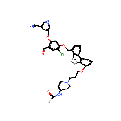 CC(=O)NC1CCN(CCCOc2cccc(-c3cccc(COc4cc(OCc5cncc(C#N)c5)c(C=O)cc4Cl)c3C)c2C)CC1